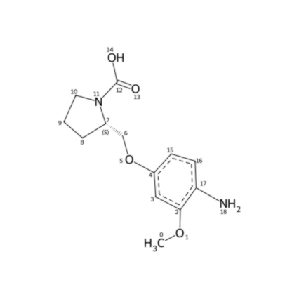 COc1cc(OC[C@@H]2CCCN2C(=O)O)ccc1N